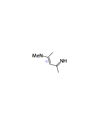 CN/C(C)=C/C(C)=N